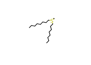 C=S(CCCCCCCC)CCCCCCCC